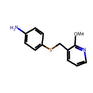 COc1ncccc1CSc1ccc(N)cc1